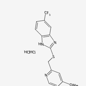 COc1ccnc(CSc2nc3cc(C(F)(F)F)ccc3[nH]2)c1.Cl.Cl